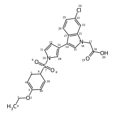 CCOC1=CCC(S(=O)(=O)n2ccc(-c3cn(CC(=O)O)c4cc(Cl)ccc34)c2)C=C1